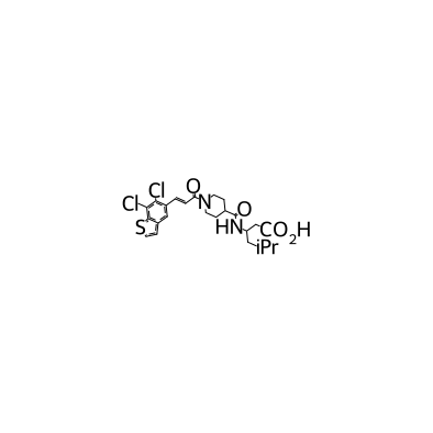 CC(C)CC(CC(=O)O)NC(=O)C1CCN(C(=O)C=Cc2cc3ccsc3c(Cl)c2Cl)CC1